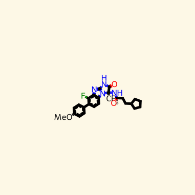 COc1ccc(-c2ccc3c(nc4n3C(NC(=O)CCC3CCCC3)(C(F)(F)F)C(=O)N4)c2F)cc1